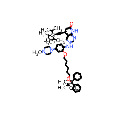 CC(C)[Si](C#Cc1cc(=O)[nH]c2c1=CN(Nc1ccc(N3CCN(C)CC3)cc1OCCCCCCO[Si](c1ccccc1)(c1ccccc1)C(C)(C)C)CN=2)(C(C)C)C(C)C